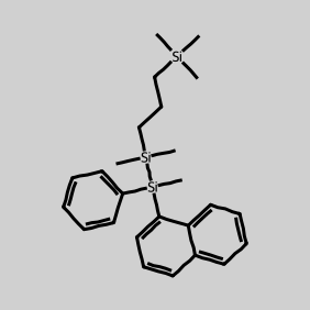 C[Si](C)(C)CCC[Si](C)(C)[Si](C)(c1ccccc1)c1cccc2ccccc12